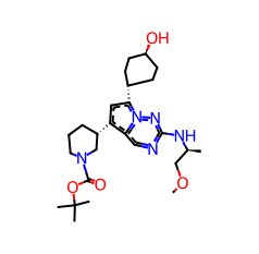 COC[C@H](C)Nc1ncc2c([C@H]3CCCN(C(=O)OC(C)(C)C)C3)cc([C@H]3CC[C@H](O)CC3)n2n1